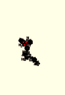 Cc1ncsc1-c1ccc(CNC(=O)[C@@H]2C[C@@H](O)CN2C(=O)[C@@H](NC(=O)[C@H]2CC[C@H](Cc3cnc(N4C5CCC4CN(C4=C(N)NNC(c6ccccc6O)=C4)C5)nc3)CC2)C(C)(C)C)cc1